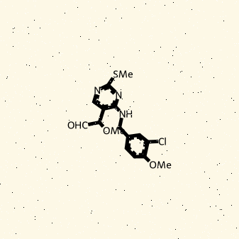 COc1ccc(CNc2nc(SC)ncc2C(C=O)OC)cc1Cl